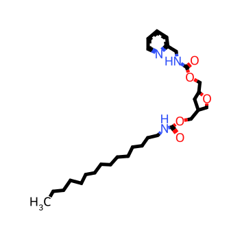 CCCCCCCCCCCCCCCNC(=O)OCC1COC(COC(=O)NCc2ccccn2)C1